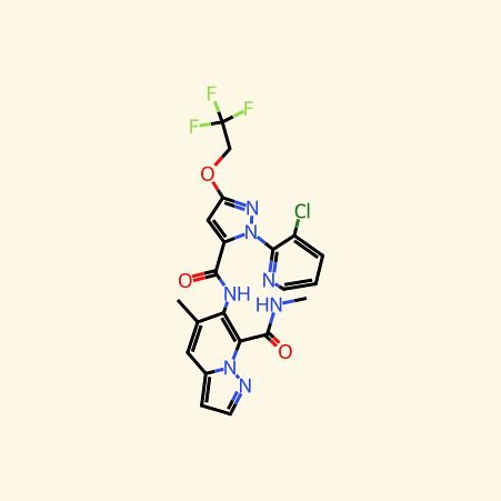 CNC(=O)c1c(NC(=O)c2cc(OCC(F)(F)F)nn2-c2ncccc2Cl)c(C)cc2ccnn12